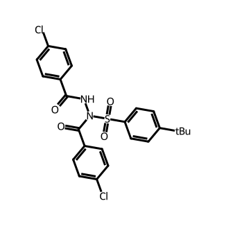 CC(C)(C)c1ccc(S(=O)(=O)N(NC(=O)c2ccc(Cl)cc2)C(=O)c2ccc(Cl)cc2)cc1